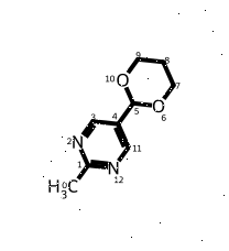 Cc1ncc(C2OCCCO2)cn1